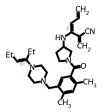 C=C/C=C(/NC1CCN(C(=O)c2cc(CN3CCN(/C(=C/CC)CC)CC3)c(C)cc2C)C1)C(=C)C#N